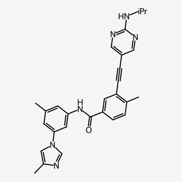 Cc1cc(NC(=O)c2ccc(C)c(C#Cc3cnc(NC(C)C)nc3)c2)cc(-n2cnc(C)c2)c1